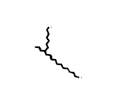 [CH2]CCCCCCCC/C=C/CC(CCC)CCCCCC[CH2]